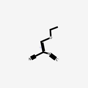 [C-]#[N+]/C(C#N)=C\OCC